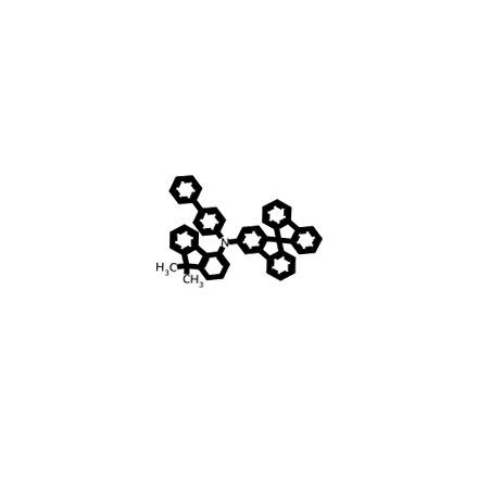 CC1(C)C2=C(C(N(c3ccc(-c4ccccc4)cc3)c3ccc4c(c3)-c3ccccc3C43c4ccccc4-c4ccccc43)=CCC2)c2ccccc21